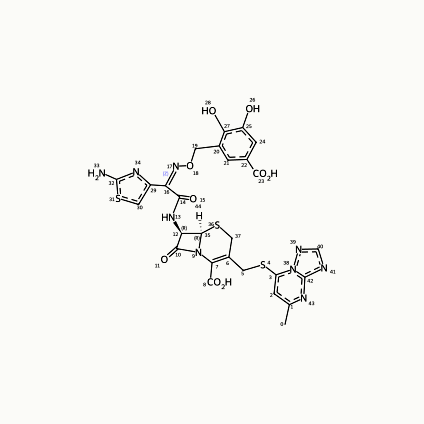 Cc1cc(SCC2=C(C(=O)O)N3C(=O)[C@@H](NC(=O)/C(=N\OCc4cc(C(=O)O)cc(O)c4O)c4csc(N)n4)[C@H]3SC2)n2ncnc2n1